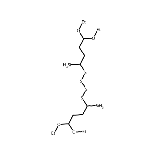 CCOC(CCC([SiH3])SSSSC([SiH3])CCC(OCC)OCC)OCC